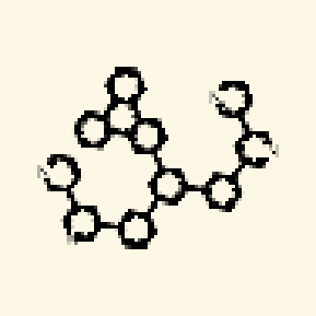 C1=CC(c2cncc(-c3cccc(-c4cc(-c5cccc(-c6cncc(-c7cccnc7)c6)c5)cc(-c5ccc6c7ccccc7c7ccccc7c6c5)c4)c3)c2)CN=C1